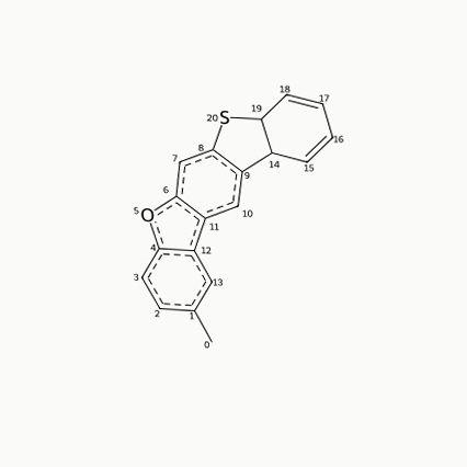 Cc1ccc2oc3cc4c(cc3c2c1)C1C=CC=CC1S4